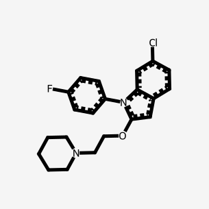 Fc1ccc(-n2c(OCCN3CCCCC3)cc3ccc(Cl)cc32)cc1